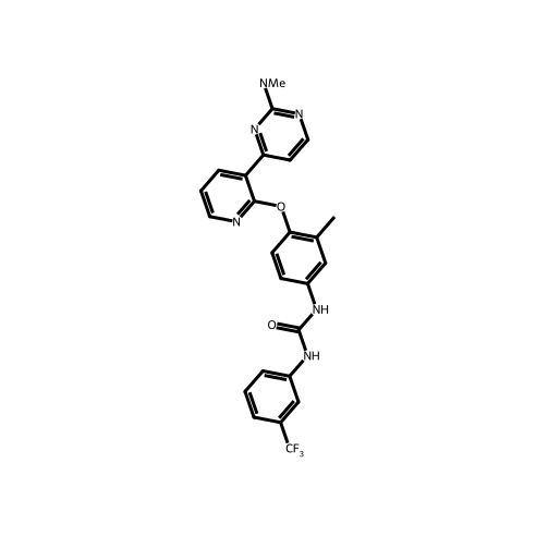 CNc1nccc(-c2cccnc2Oc2ccc(NC(=O)Nc3cccc(C(F)(F)F)c3)cc2C)n1